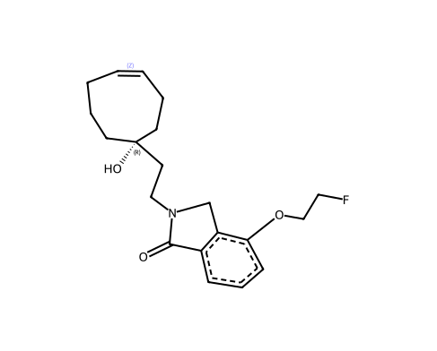 O=C1c2cccc(OCCF)c2CN1CC[C@]1(O)CC/C=C\CCC1